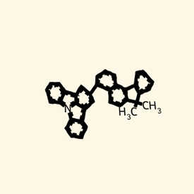 CC1(C)c2ccccc2-c2c1ccc1c(-c3cc4c5ccccc5n5c6ccccc6c(c3)c45)cccc21